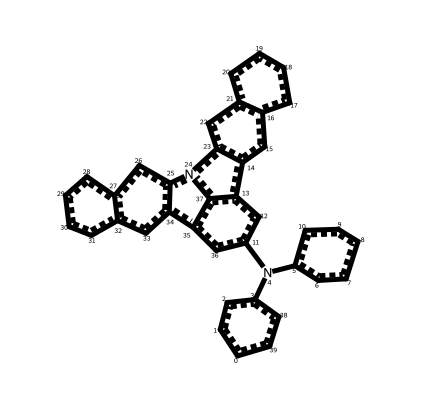 c1ccc(N(c2ccccc2)c2cc3c4cc5ccccc5cc4n4c5cc6ccccc6cc5c(c2)c34)cc1